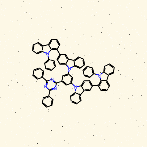 c1ccc(-c2nc(-c3ccccc3)nc(-c3cc(-n4c5ccccc5c5cc(-c6cccc7c8ccccc8n(-c8ccccc8)c67)ccc54)cc(-n4c5ccccc5c5cc(-c6cccc7c8ccccc8n(-c8ccccc8)c67)ccc54)c3)n2)cc1